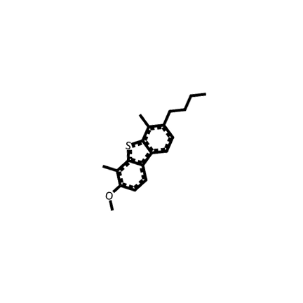 CCCCc1ccc2c(sc3c(C)c(OC)ccc32)c1C